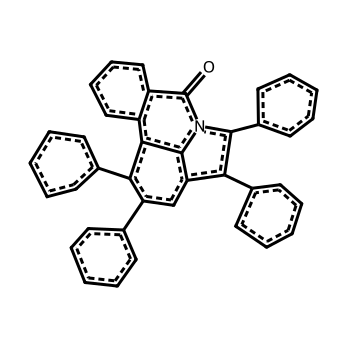 O=c1c2ccccc2c2c(-c3ccccc3)c(-c3ccccc3)cc3c(-c4ccccc4)c(-c4ccccc4)n1c32